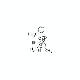 CC[C@H]1[C@H](C)[C@@H]2O[C@@H](C[C@H]2C)[C@H]1OC(=O)c1ccccc1C(=O)O